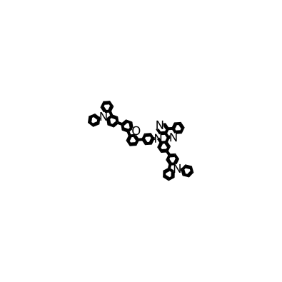 c1ccc(-n2c3ccccc3c3cc(-c4ccc5c(c4)-c4nc6ccccc6c6cncc(c46)N5c4ccc(-c5cccc6c5oc5ccc(-c7ccc8c(c7)c7ccccc7n8-c7ccccc7)cc56)cc4)ccc32)cc1